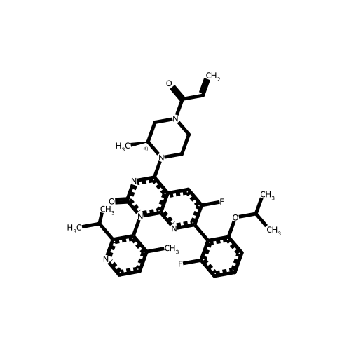 C=CC(=O)N1CCN(c2nc(=O)n(-c3c(C)ccnc3C(C)C)c3nc(-c4c(F)cccc4OC(C)C)c(F)cc23)[C@@H](C)C1